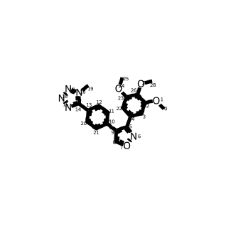 COc1cc(-c2nocc2-c2ccc(-c3nnnn3C)cc2)cc(OC)c1OC